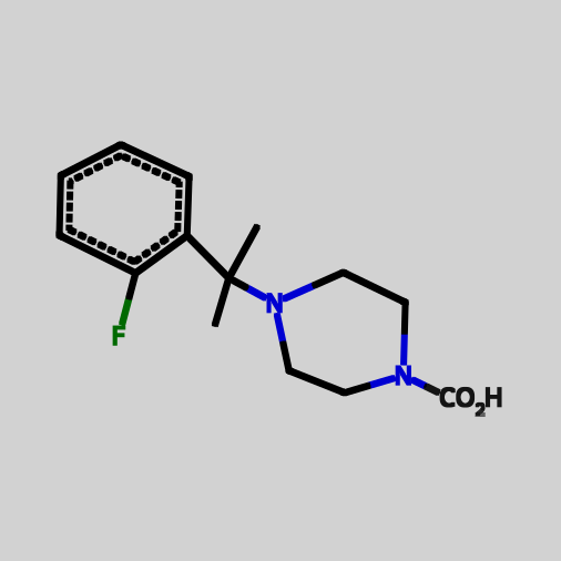 CC(C)(c1ccccc1F)N1CCN(C(=O)O)CC1